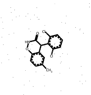 Cc1ccc2c(c1)C(c1c(Cl)cccc1Cl)C(=O)NO2